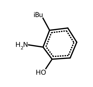 CCC(C)c1cccc(O)c1N